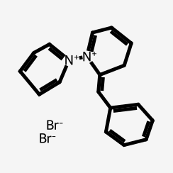 C1=CCC(=Cc2ccccc2)[N+]([n+]2ccccc2)=C1.[Br-].[Br-]